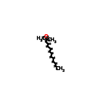 C=CCCCCCCCCCCC(C)(C)[O]